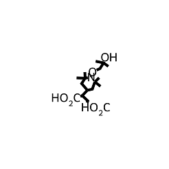 CC(C)(O)CON1C(C)(C)CC(C(CC(=O)O)C(=O)O)CC1(C)C